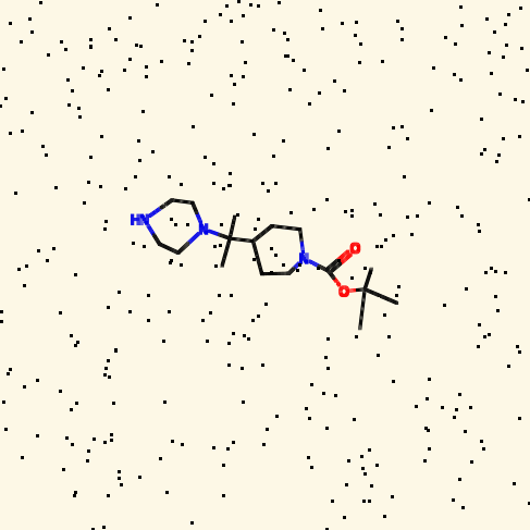 CC(C)(C)OC(=O)N1CCC(C(C)(C)N2CCNCC2)CC1